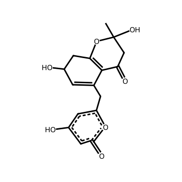 CC1(O)CC(=O)C2=C(CC(O)C=C2Cc2cc(O)cc(=O)o2)O1